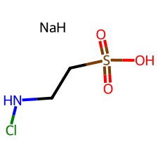 O=S(=O)(O)CCNCl.[NaH]